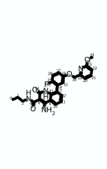 CCCNC(=O)c1c(N)c2cccc(-c3cc(OCc4cccc(OC)n4)ccc3F)c2[nH]c1=O